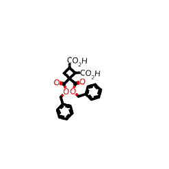 O=C(O)C1CC(C(=O)OCc2ccccc2)(C(=O)OCc2ccccc2)C1C(=O)O